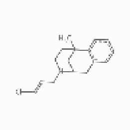 CC12CCN(CC=CCl)C(Cc3ccccc31)C2